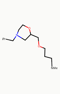 CNCCCOCC1CN(CC(C)C)CCO1